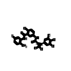 Nc1ccc(F)cc1NC(=O)c1cc(NC(=O)[C@H]2[C@H](c3cc(Cl)c(Cl)c(Cl)c3)C2(Cl)Cl)ccc1Cl